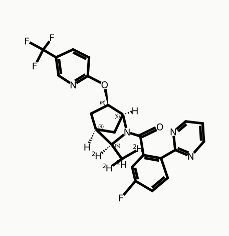 [2H]C([2H])([2H])[C@@]1([2H])[C@H]2C[C@@H](Oc3ccc(C(F)(F)F)cn3)[C@H](C2)N1C(=O)c1cc(F)ccc1-c1ncccn1